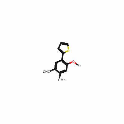 CCOc1cc(OC)c(C=O)cc1-c1cccs1